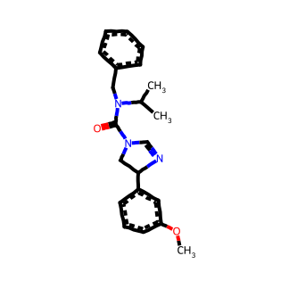 COc1cccc(C2CN(C(=O)N(Cc3ccccc3)C(C)C)C=N2)c1